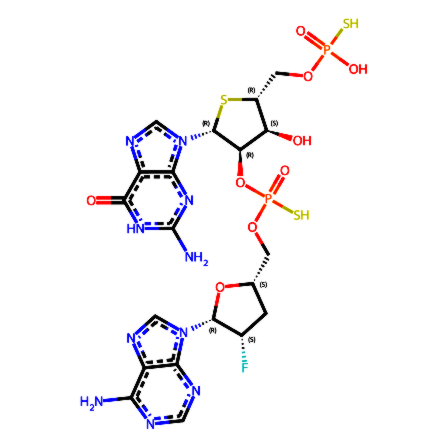 Nc1nc2c(ncn2[C@@H]2S[C@H](COP(=O)(O)S)[C@@H](O)[C@H]2OP(=O)(S)OC[C@@H]2C[C@H](F)[C@H](n3cnc4c(N)ncnc43)O2)c(=O)[nH]1